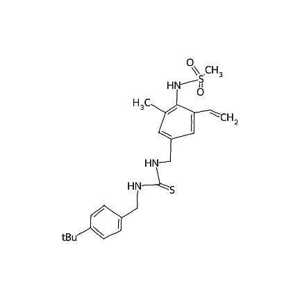 C=Cc1cc(CNC(=S)NCc2ccc(C(C)(C)C)cc2)cc(C)c1NS(C)(=O)=O